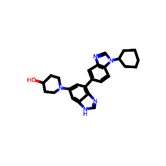 OC1CCN(c2cc(-c3ccc4c(c3)ncn4C3CCCCC3)c3nc[nH]c3c2)CC1